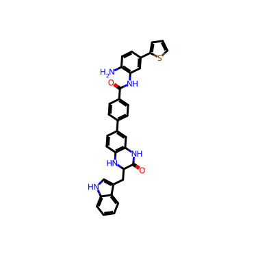 Nc1ccc(-c2cccs2)cc1NC(=O)c1ccc(-c2ccc3c(c2)NC(=O)C(Cc2c[nH]c4ccccc24)N3)cc1